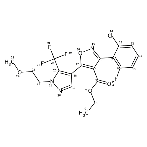 CCOC(=O)c1c(-c2c(F)cccc2Cl)noc1-c1cnn(CCOC)c1C(F)(F)F